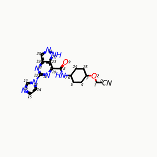 N#CCOC1CCC(NC(=O)c2nc(-n3ccnc3)nc3cn[nH]c23)CC1